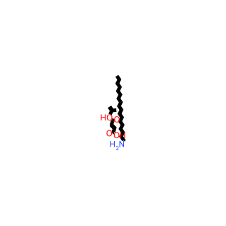 C=C(C)C.CCCCCCCCCCCCCCCCCCN.O=C(O)C=CC(=O)O